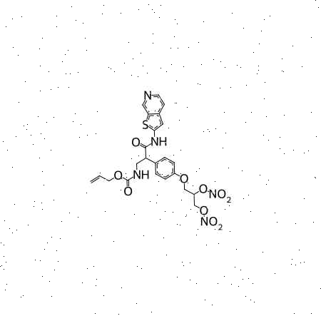 C=CCOC(=O)NCC(C(=O)Nc1cc2ccncc2s1)c1ccc(OCC(CO[N+](=O)[O-])O[N+](=O)[O-])cc1